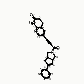 O=C1CCc2cc(C#CC(=O)N3CC4C=C(c5ccccc5)CC4C3)cnc2N1